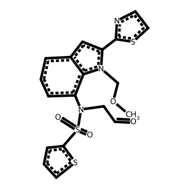 COCn1c(-c2nccs2)cc2cccc(N(CC=O)S(=O)(=O)c3cccs3)c21